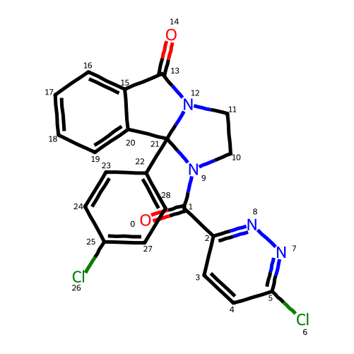 O=C(c1ccc(Cl)nn1)N1CCN2C(=O)c3ccccc3C12c1ccc(Cl)cc1